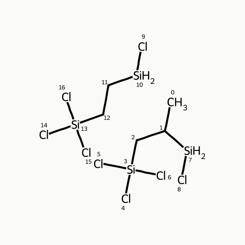 CC(C[Si](Cl)(Cl)Cl)[SiH2]Cl.Cl[SiH2]CC[Si](Cl)(Cl)Cl